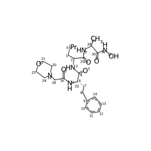 CC(C)CC(NC(=O)[C@H](CCc1ccccc1)NC(=O)CN1CCOCC1)C(=O)NC(C)C(=O)NO